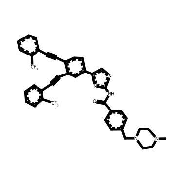 CN1CCN(Cc2ccc(C(=O)Nc3nc(-c4ccc(C#Cc5ccccc5C(F)(F)F)c(C#Cc5ccccc5C(F)(F)F)c4)cs3)cc2)CC1